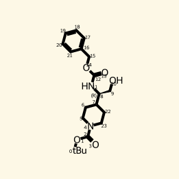 CC(C)(C)OC(=O)N1CCC([C@H](CO)NC(=O)OCc2ccccc2)CC1